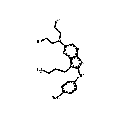 COc1ccc(Nc2nc3ccc(N(CCC(C)C)CCC(C)C)nc3n2CCCN)cc1